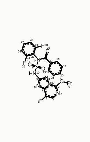 CCOc1ncc(F)c2nc(NS(=O)(=O)N(C(=O)c3ccccc3)c3c(F)cccc3F)nn12